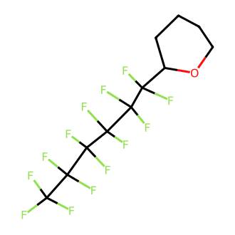 FC(F)(F)C(F)(F)C(F)(F)C(F)(F)C(F)(F)C(F)(F)C1CCCCO1